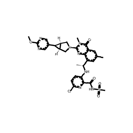 COc1ncc(C2[C@H]3CN(c4nc5c([C@@H](C)Nc6ccc(Cl)nc6C(=O)NS(C)(=O)=O)cc(C)cc5c(=O)n4C)C[C@@H]23)cn1